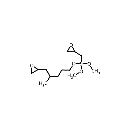 CO[Si](CC1CO1)(OC)OCCCC(C)CC1CO1